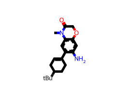 CN1C(=O)COc2cc(N)c(C3=CCC(C(C)(C)C)CC3)cc21